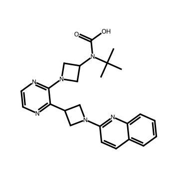 CC(C)(C)N(C(=O)O)C1CN(c2nccnc2C2CN(c3ccc4ccccc4n3)C2)C1